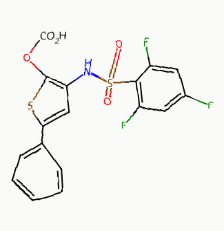 O=C(O)Oc1sc(-c2ccccc2)cc1NS(=O)(=O)c1c(F)cc(F)cc1F